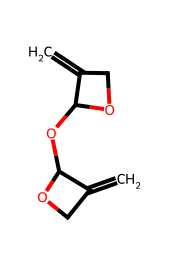 C=C1COC1OC1OCC1=C